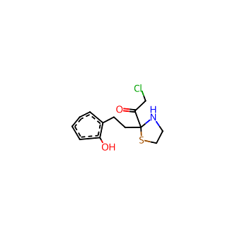 O=C(CCl)C1(CCc2ccccc2O)NCCS1